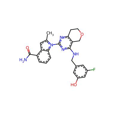 Cc1cc2c(C(N)=O)cccc2n1-c1nc2c(c(NCc3cc(O)cc(F)c3)n1)COCC2